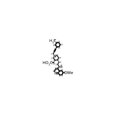 COc1ccc2nccc([C@@H](F)CC[C@@H]3CCN(CC#Cc4cccc(C)c4)C[C@@H]3CC(=O)O)c2c1